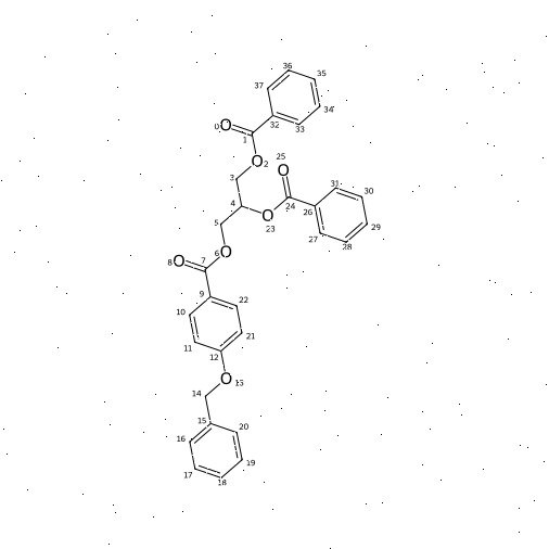 O=C(OCC(COC(=O)c1ccc(OCc2ccccc2)cc1)OC(=O)c1ccccc1)c1ccccc1